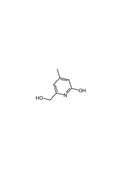 Cc1cc(O)nc(CO)c1